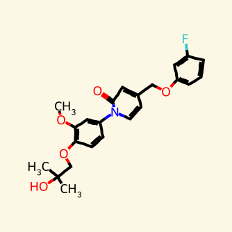 COc1cc(-n2ccc(COc3cccc(F)c3)cc2=O)ccc1OCC(C)(C)O